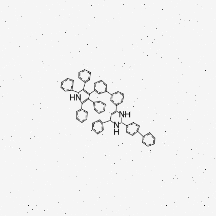 C1=C(c2cccc(-c3cccc(C4=C(c5ccccc5)C(c5ccccc5)NC(c5ccccc5)=C4c4ccccc4)c3)c2)NC(c2ccc(-c3ccccc3)cc2)NC1c1ccccc1